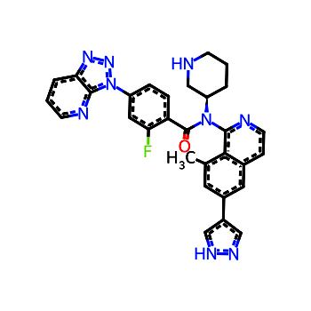 Cc1cc(-c2cn[nH]c2)cc2ccnc(N(C(=O)c3ccc(-n4nnc5cccnc54)cc3F)[C@@H]3CCCNC3)c12